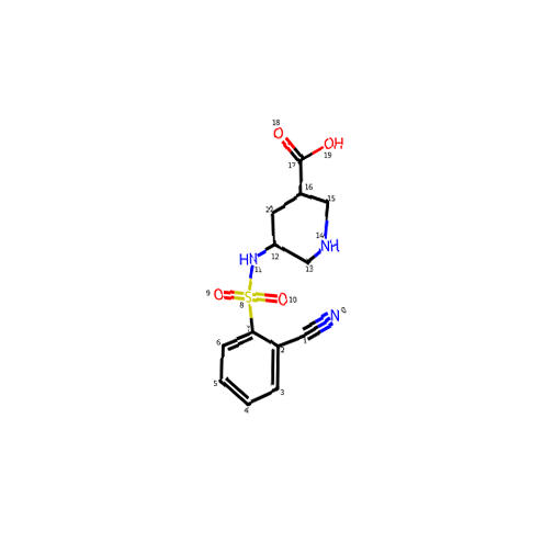 N#Cc1ccccc1S(=O)(=O)NC1CNCC(C(=O)O)C1